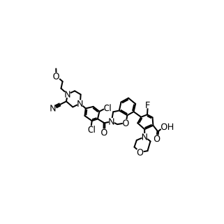 COCCN1CCN(c2cc(Cl)c(C(=O)N3COc4c(cccc4-c4cc(N5CCOCC5)c(C(=O)O)cc4F)C3)c(Cl)c2)CC1C#N